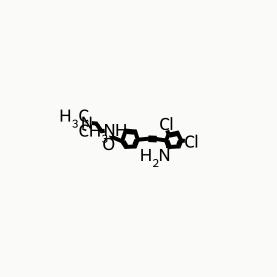 CN(C)CCNC(=O)c1ccc(C#Cc2c(N)cc(Cl)cc2Cl)cc1